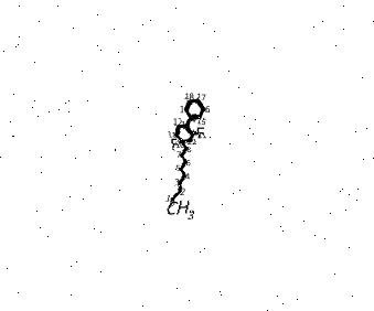 CCCCCCCCCC1(F)C=CC(c2ccccc2)=C(F)C1